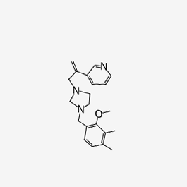 C=C(CN1CCN(Cc2ccc(C)c(C)c2OC)C1)c1cccnc1